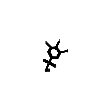 O=S(=O)(O)c1cc(I)c(I)c(I)c1